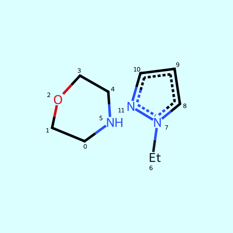 C1COCCN1.CCn1cccn1